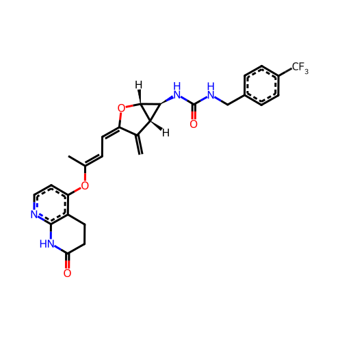 C=C1/C(=C\C=C(/C)Oc2ccnc3c2CCC(=O)N3)O[C@@H]2[C@@H](NC(=O)NCc3ccc(C(F)(F)F)cc3)[C@H]12